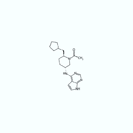 CC(=O)N1C[C@H](Nc2ncnc3[nH]ccc23)CC[C@H]1CC1CCCC1